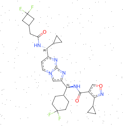 O=C(CC1CC(F)(F)C1)N[C@@H](c1ccn2cc([C@@H](NC(=O)c3conc3C3CC3)C3CCC(F)(F)CC3)nc2n1)C1CC1